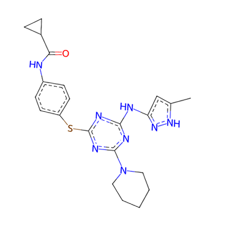 Cc1cc(Nc2nc(Sc3ccc(NC(=O)C4CC4)cc3)nc(N3CCCCC3)n2)n[nH]1